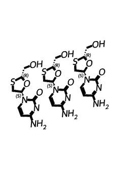 Nc1ccn([C@@H]2CS[C@H](CO)O2)c(=O)n1.Nc1ccn([C@@H]2CS[C@H](CO)O2)c(=O)n1.Nc1ccn([C@@H]2CS[C@H](CO)O2)c(=O)n1